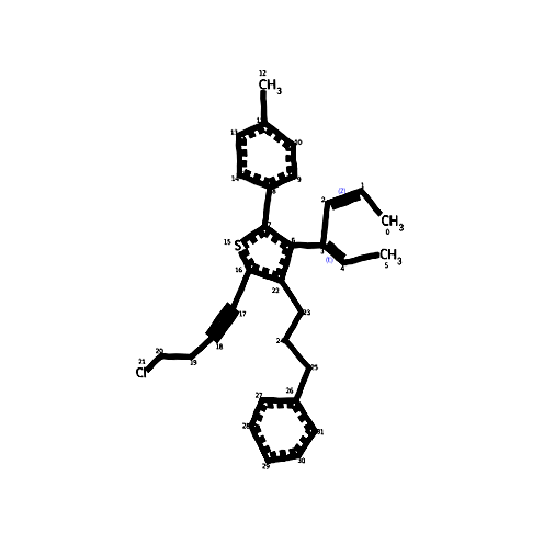 C/C=C\C(=C/C)c1c(-c2ccc(C)cc2)sc(C#CCCCl)c1CCCc1ccccc1